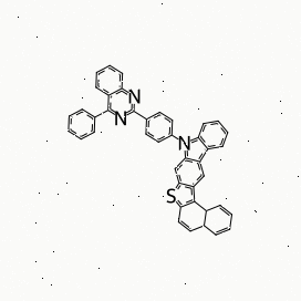 C1=CC2C=Cc3sc4cc5c(cc4c3C2C=C1)c1ccccc1n5-c1ccc(-c2nc(-c3ccccc3)c3ccccc3n2)cc1